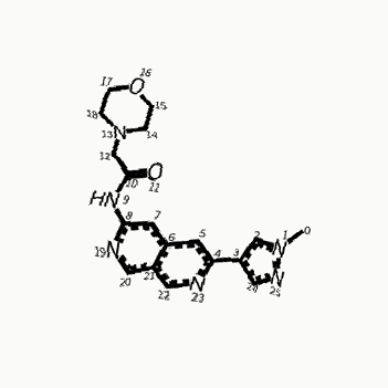 Cn1cc(-c2cc3cc(NC(=O)CN4CCOCC4)ncc3cn2)cn1